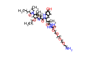 CCCCC(=O)N(CCC)C(CC(OCCC)c1nc(C(=O)NC(Cc2ccc(O)cc2)C[C@H](C)C(=O)NNC(=O)OCCOCCOCCOCCN)cs1)C(C)C